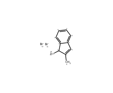 CC1=Cc2ccccc2[CH]1[Zr+2].[Br-].[Br-]